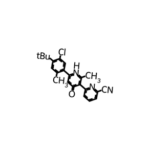 Cc1cc(C(C)(C)C)c(Cl)cc1-c1cc(=O)c(-c2cccc(C#N)n2)c(C)[nH]1